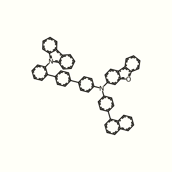 c1ccc(-n2c3ccccc3c3ccccc32)c(-c2ccc(-c3ccc(N(c4ccc(-c5cccc6ccccc56)cc4)c4ccc5c(c4)oc4ccccc45)cc3)cc2)c1